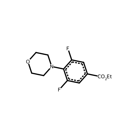 CCOC(=O)c1cc(F)c(N2CCOCC2)c(F)c1